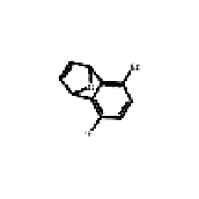 CCc1ccc(CC)c2c1C1C=CC2O1